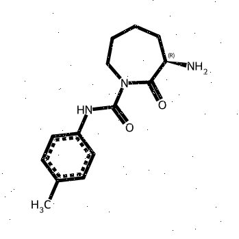 Cc1ccc(NC(=O)N2CCCC[C@@H](N)C2=O)cc1